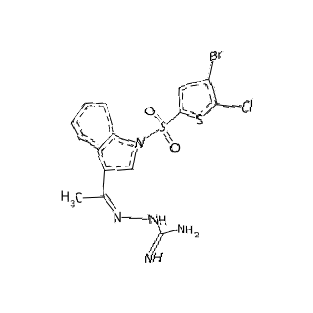 C/C(=N/NC(=N)N)c1cn(S(=O)(=O)c2cc(Br)c(Cl)s2)c2ccccc12